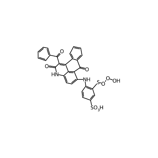 O=C(c1ccccc1)c1c2c3c(c(Nc4ccc(S(=O)(=O)O)cc4SOOO)ccc3[nH]c1=O)C(=O)c1ccccc1-2